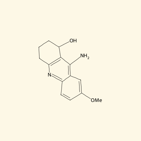 COc1ccc2nc3c(c(N)c2c1)C(O)CCC3